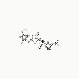 CCc1nc(C)c(CN2C[C@@H](C)[C@@H](NC(=O)c3cc(C4CC4)on3)C2)[nH]1